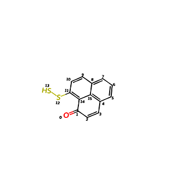 O=C1C=Cc2cccc3ccc(SS)c1c23